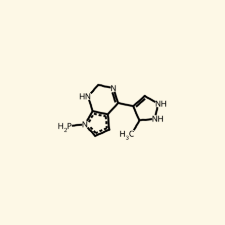 CC1NNC=C1C1=NCNc2c1ccn2P